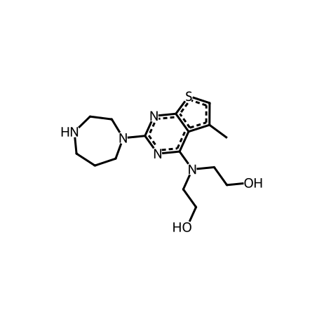 Cc1csc2nc(N3CCCNCC3)nc(N(CCO)CCO)c12